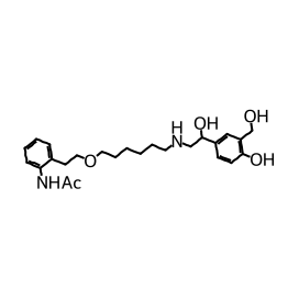 CC(=O)Nc1ccccc1CCOCCCCCCNCC(O)c1ccc(O)c(CO)c1